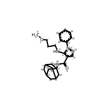 COCCCNc1c(C(=O)NC23CC4CC(CC(C4)C2)C3)cnn1-c1ccccc1